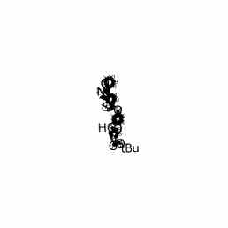 CC(C)(C)OC(=O)N1CCC(O)(Oc2ccc(Oc3csc4c3ccc3c4cnn3C3CCCCO3)cc2)C1